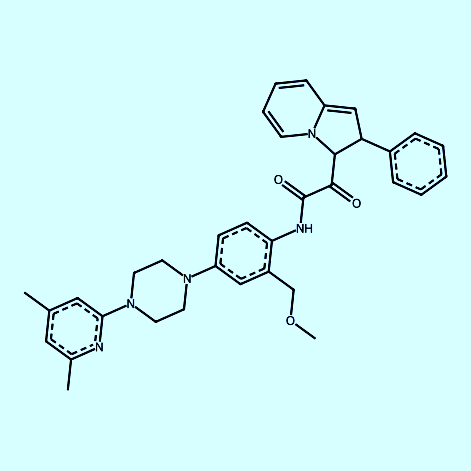 COCc1cc(N2CCN(c3cc(C)cc(C)n3)CC2)ccc1NC(=O)C(=O)C1C(c2ccccc2)C=C2C=CC=CN21